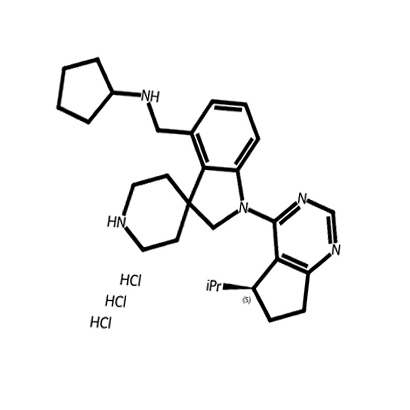 CC(C)[C@@H]1CCc2ncnc(N3CC4(CCNCC4)c4c(CNC5CCCC5)cccc43)c21.Cl.Cl.Cl